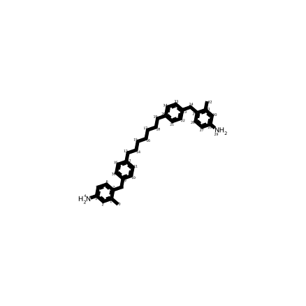 Cc1cc(N)ccc1Cc1ccc(CCCCCCCc2ccc(Cc3ccc(N)cc3C)cc2)cc1